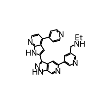 CCNCc1cncc(-c2cc3c(-c4cc5c(-c6ccncc6)ccnc5[nH]4)n[nH]c3cn2)c1